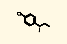 CC[C@H](C)c1ccc(Cl)cc1